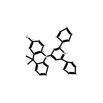 CC1(C)c2ccccc2N(c2cc(-c3ccccc3)nc(-c3ccccc3)c2)c2ccc(Br)cc21